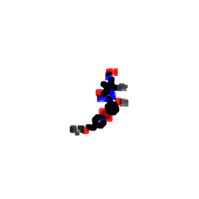 CCCc1c(C=NO)c(C)c2c(=O)[nH]c(-c3cc(S(=O)(=O)N4CCC(CCO[N+](=O)[O-])CC4)ccc3OCC)nn12